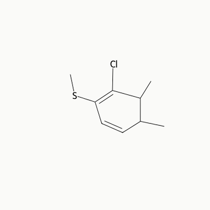 CSC1=C(Cl)C(C)C(C)C=C1